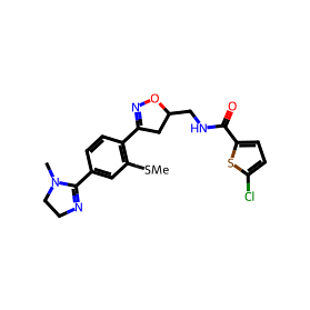 CSc1cc(C2=NCCN2C)ccc1C1=NOC(CNC(=O)c2ccc(Cl)s2)C1